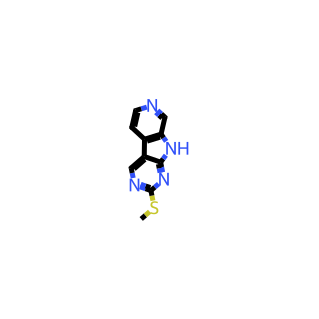 CSc1ncc2c(n1)[nH]c1cnccc12